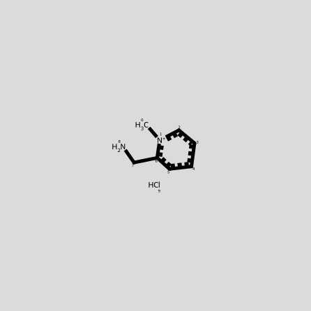 C[n+]1ccccc1CN.Cl